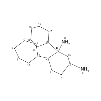 NC1CCC(C2CCCCC2)C(N)(C2CCCCC2)C1